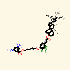 CCC(/C=C\C(C)C1CCC2C3CC=C4C(OC(=O)/C=C/c5ccc(OCCCCCCOC(=O)c6cc(N)cc(N)c6)c(F)c5F)CCCC4(C)C3CCC12C)C(C)C